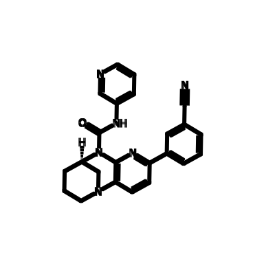 N#Cc1cccc(-c2ccc3c(n2)N(C(=O)Nc2cccnc2)[C@@H]2CCCN3C2)c1